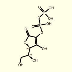 O=C1O[C@H]([C@@H](O)CO)C(O)=C1OP(=O)(O)OP(=O)(O)O